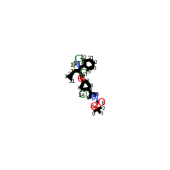 CC(C)(C)OC(=O)N1CC(c2ccc(OCc3c(-c4c(Cl)cccc4Cl)nsc3C3CC3)cc2Cl)C1